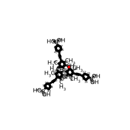 Cc1c(C)c(B(c2c(C)c(C)c(C#Cc3ccc(B(O)O)cc3)c(C)c2C)c2c(C)c(C)c(C#Cc3ccc(B(O)O)cc3)c(C)c2C)c(C)c(C)c1C#Cc1ccc(B(O)O)cc1